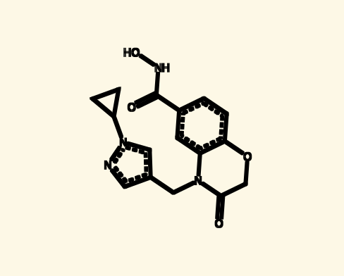 O=C(NO)c1ccc2c(c1)N(Cc1cnn(C3CC3)c1)C(=O)CO2